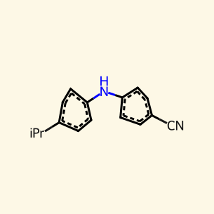 CC(C)c1ccc(Nc2ccc(C#N)cc2)cc1